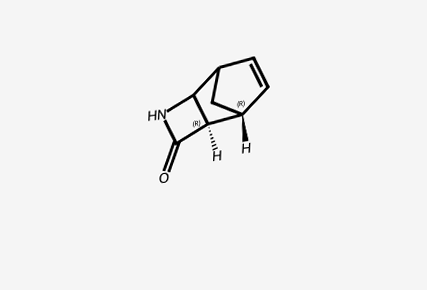 O=C1NC2C3C=C[C@@H](C3)[C@@H]12